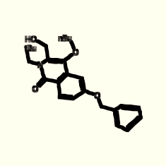 CCCCOc1c(CO)n(CC(C)(C)C)c(=O)c2ccc(OCc3ccccc3)cc12